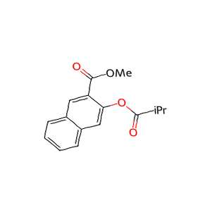 COC(=O)c1cc2ccccc2cc1OC(=O)C(C)C